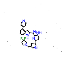 FC1(F)CCN(Cc2cncc(-c3ccc4[nH]nc(-c5cc6c(-c7ccncc7)cccc6[nH]5)c4n3)c2)C1